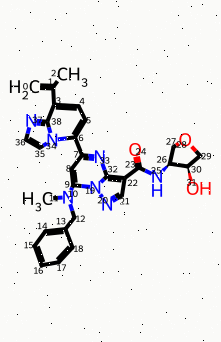 C=C(C)c1ccc(-c2cc(N(C)Cc3ccccc3)n3ncc(C(=O)N[C@H]4COC[C@H]4O)c3n2)n2ccnc12